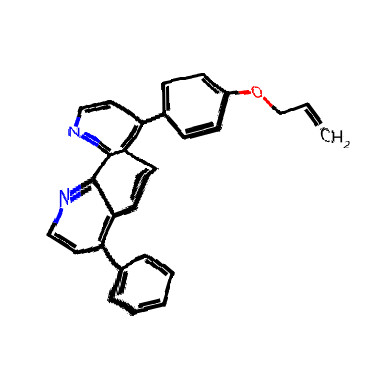 C=CCOc1ccc(-c2ccnc3c2ccc2c(-c4ccccc4)ccnc23)cc1